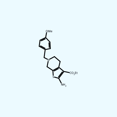 CCOC(=O)c1c(N)sc2c1CCN(Cc1ccc(OC)cc1)C2